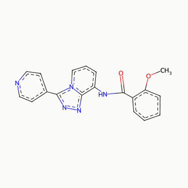 COc1ccccc1C(=O)Nc1cccn2c(-c3ccncc3)nnc12